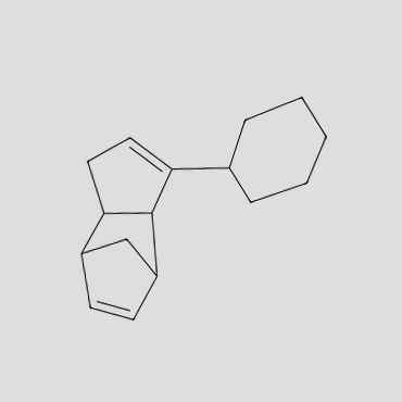 C1=CC2CC1C1CC=C(C3CCCCC3)C21